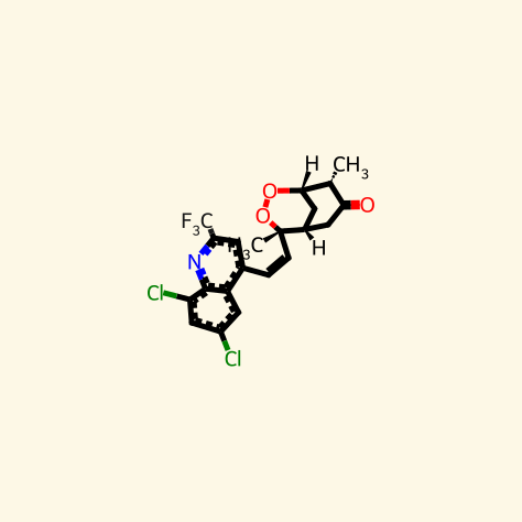 C[C@@H]1C(=O)C[C@H]2C[C@@H]1OO[C@@]2(C)/C=C\c1cc(C(F)(F)F)nc2c(Cl)cc(Cl)cc12